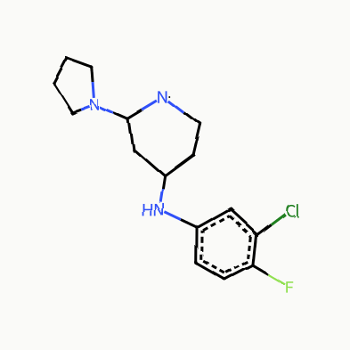 Fc1ccc(NC2CC[N]C(N3CCCC3)C2)cc1Cl